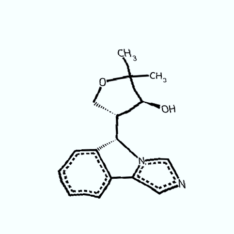 CC1(C)OC[C@@H]([C@H]2c3ccccc3-c3cncn32)[C@@H]1O